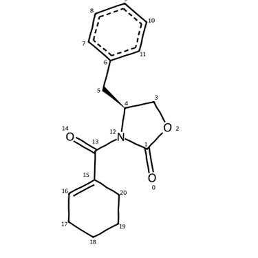 O=C1OC[C@H](Cc2ccccc2)N1C(=O)C1=CCCCC1